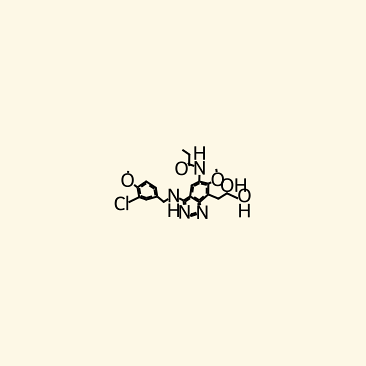 CCC(=O)Nc1cc2c(NCc3ccc(OC)c(Cl)c3)ncnc2c(CC(O)CO)c1OC